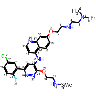 CCCN(C)CCNCCOc1ccc2c(Nc3cc(-c4cc(Cl)ccc4F)nnc3OCCNSC)ccnc2c1